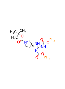 CC(C)(C)OC(=O)N1CC[C@@H](NC(=NC(=O)OP)NC(=O)OP)C1